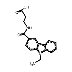 CCn1c2ccccc2c2cc(C(=O)NCCC(=O)O)ccc21